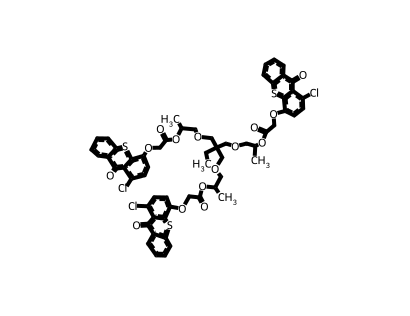 CCC(COCC(C)OC(=O)COc1ccc(Cl)c2c(=O)c3ccccc3sc12)(COCC(C)OC(=O)COc1ccc(Cl)c2c(=O)c3ccccc3sc12)COCC(C)OC(=O)COc1ccc(Cl)c2c(=O)c3ccccc3sc12